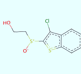 [O-][S+](CCO)c1sc2ccccc2c1Cl